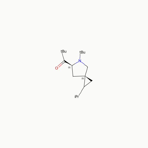 CC(C)C1C[C@]12C[C@@H](C(=O)C(C)(C)C)N(C(C)(C)C)C2